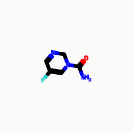 NC(=O)N1C=C(F)C=NC1